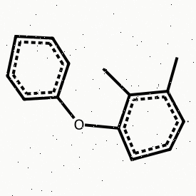 Cc1[c]ccc(Oc2ccccc2)c1C